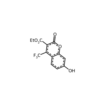 CCOC(=O)c1c(C(F)(F)F)c2ccc(O)cc2oc1=O